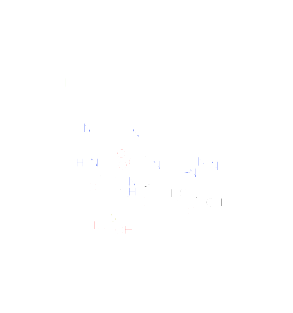 CC(C)(O)c1cnnn1[C@H]1C[C@@H](C(=O)NC2(C(=O)C(N)=O)CCS(O)(O)CC2)N(C(=O)C(CC2CCCCC2)NC(=O)c2cnc3cc(F)ccc3c2)C1